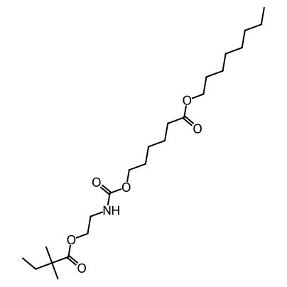 CCCCCCCCOC(=O)CCCCCOC(=O)NCCOC(=O)C(C)(C)CC